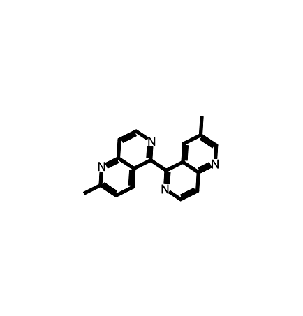 Cc1cnc2ccnc(-c3nccc4nc(C)ccc34)c2c1